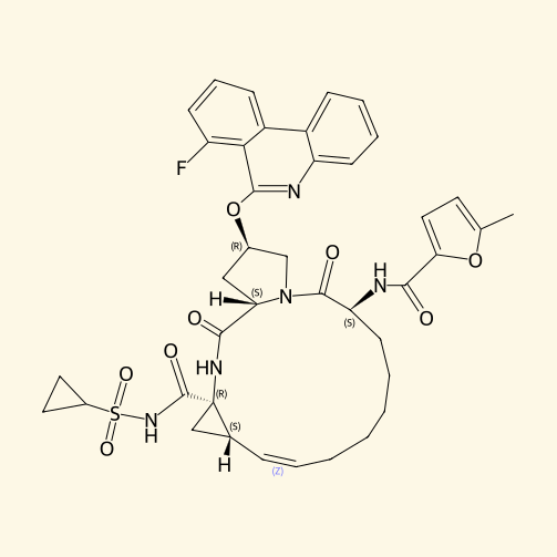 Cc1ccc(C(=O)N[C@H]2CCCCC/C=C\[C@@H]3C[C@@]3(C(=O)NS(=O)(=O)C3CC3)NC(=O)[C@@H]3C[C@@H](Oc4nc5ccccc5c5cccc(F)c45)CN3C2=O)o1